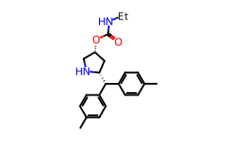 CCNC(=O)O[C@H]1CN[C@@H](C(c2ccc(C)cc2)c2ccc(C)cc2)C1